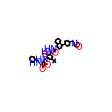 COc1c(NC(=O)Nc2ccc(-c3ccc(CN4CCOCC4)cc3)c3ccccc23)cc(C(C)(C)C)cc1Nc1c(NCc2ccccc2)c(=O)c1=O